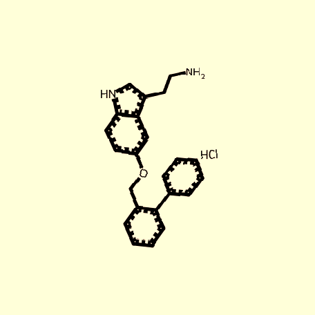 Cl.NCCc1c[nH]c2ccc(OCc3ccccc3-c3ccccc3)cc12